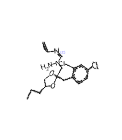 C=C/N=C\N(N)CC1(Cc2ccc(Cl)cc2Cl)OCC(CCC)O1